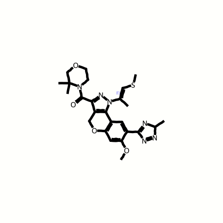 COc1cc2c(cc1C1=NC(C)N=N1)-c1c(c(C(=O)N3CCOCC3(C)C)nn1/C(C)=C/SC)CO2